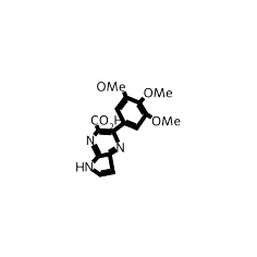 COc1cc(-c2nc3cc[nH]c3nc2C(=O)O)cc(OC)c1OC